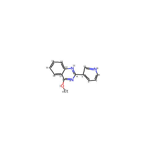 CCOc1nc(-c2cccnc2)nc2ccccc12